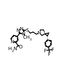 Cn1c(SCCCN2CC[C@]3(C[C@@H]3c3ccc(C(F)(F)F)cc3)C2)nnc1-c1ccnc(C(N)=O)c1